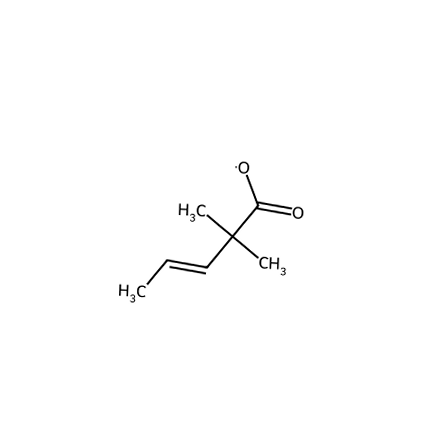 CC=CC(C)(C)C([O])=O